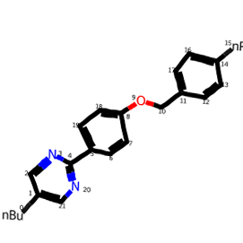 CCCCc1cnc(-c2ccc(OCc3ccc(CCC)cc3)cc2)nc1